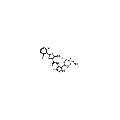 Cc1n[nH]c(C2OCC(C)(CN)CO2)c1NC(=O)c1nc(-c2c(F)cccc2F)sc1N